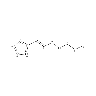 CCCOCC=Cc1ccco1